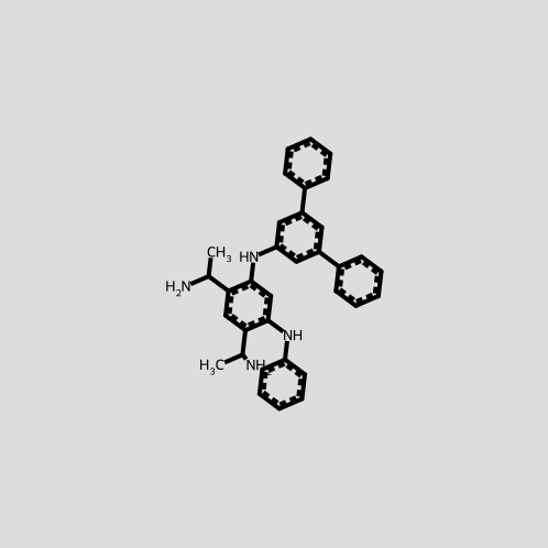 CC(N)c1cc(C(C)N)c(Nc2cc(-c3ccccc3)cc(-c3ccccc3)c2)cc1Nc1ccccc1